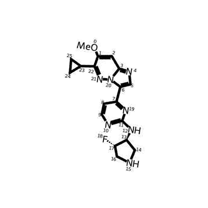 COc1cc2ncc(-c3ccnc(N[C@H]4CNC[C@@H]4F)n3)n2nc1C1CC1